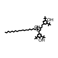 CCCCCCCCCCCCCCCCCCS(=O)(=O)N(C)C(CCc1cc(C(C)(C)C)c(O)c(C(C)(C)C)c1)CCc1cc(C(C)(C)C)c(O)c(C(C)(C)C)c1